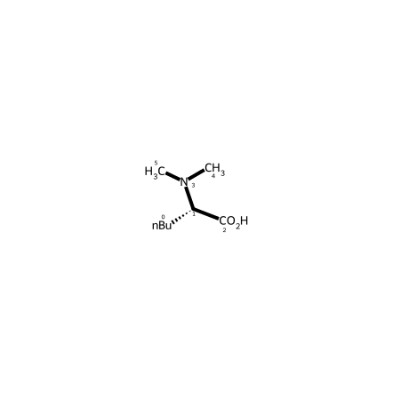 CCCC[C@@H](C(=O)O)N(C)C